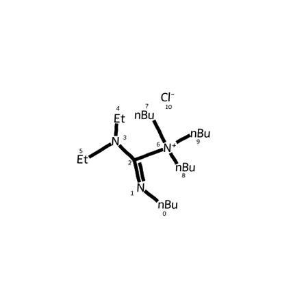 CCCCN=C(N(CC)CC)[N+](CCCC)(CCCC)CCCC.[Cl-]